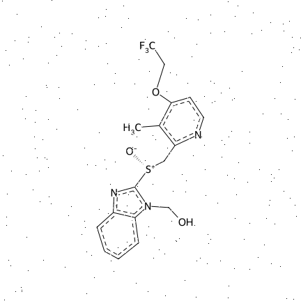 Cc1c(OCC(F)(F)F)ccnc1C[S@@+]([O-])c1nc2ccccc2n1CO